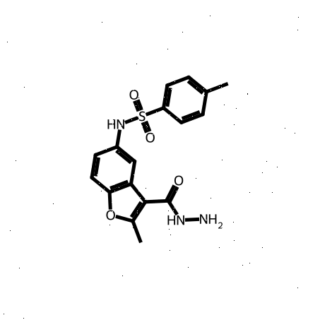 Cc1ccc(S(=O)(=O)Nc2ccc3oc(C)c(C(=O)NN)c3c2)cc1